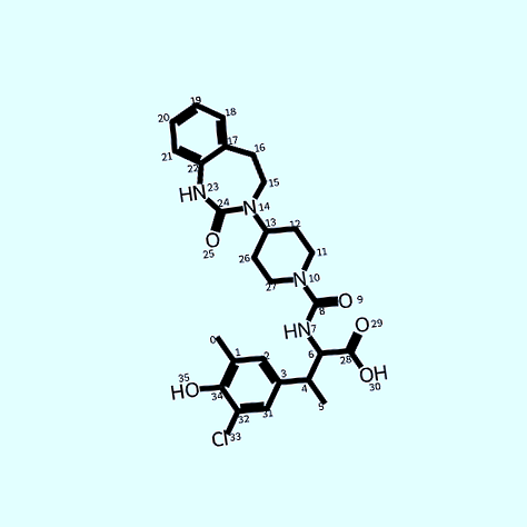 Cc1cc(C(C)C(NC(=O)N2CCC(N3CCc4ccccc4NC3=O)CC2)C(=O)O)cc(Cl)c1O